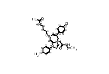 CCNC(=O)C[N+]12C=NN(C3=CC[C@H](C)C=C3)C1=CN(OCCCNC(=O)O)C=C(c1ccc(Cl)cc1)C2